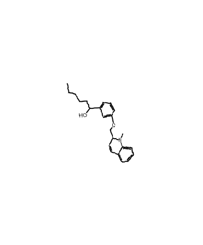 CCCCCC(O)c1cccc(OCC2C=Cc3ccccc3N2C)c1